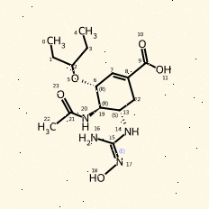 CCC(CC)O[C@@H]1C=C(C(=O)O)C[C@H](N/C(N)=N/O)[C@H]1NC(C)=O